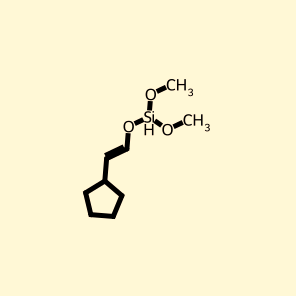 CO[SiH](OC)OC=CC1CCCC1